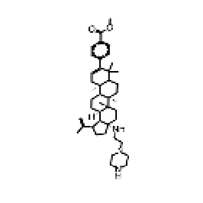 C=C(C)[C@@H]1CC[C@]2(NCCN3CCNCC3)CC[C@]3(C)[C@H](CCC4[C@@]5(C)CC=C(c6ccc(C(=O)OC)cc6)C(C)(C)C5CC[C@]43C)C12